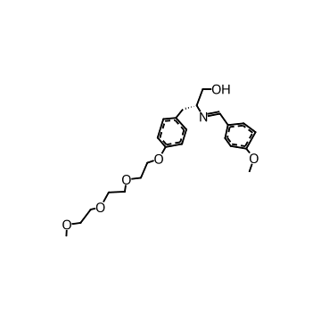 COCCOCCOCCOc1ccc(C[C@H](CO)/N=C/c2ccc(OC)cc2)cc1